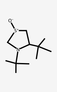 CC(C)(C)C1C[S+]([O-])CN1C(C)(C)C